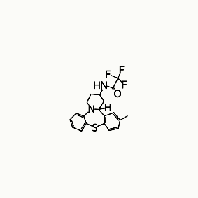 Cc1ccc2c(c1)[C@H]1C[C@H](NC(=O)C(F)(F)F)CCN1c1ccccc1S2